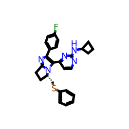 Fc1ccc(-c2nc3n(c2-c2ccnc(NC4CCC4)n2)[C@H](CSc2ccccc2)CC3)cc1